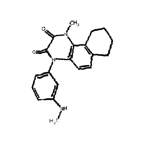 CNc1cccc(-n2c(=O)c(=O)n(C)c3c4c(ccc32)CCCC4)c1